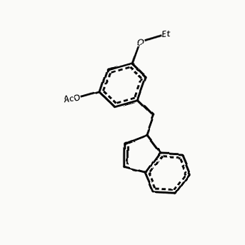 CCOc1cc(CC2C=Cc3ccccc32)cc(OC(C)=O)c1